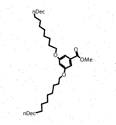 CCCCCCCCCCCCCCCCCCOc1cc(OCCCCCCCCCCCCCCCCCC)cc(C(=O)OC)c1